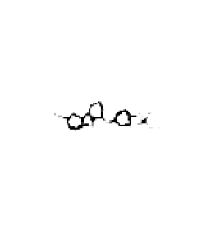 CC(F)(F)Oc1ccc(NC2CCCc3c2[nH]c2ccc(Br)cc32)cc1